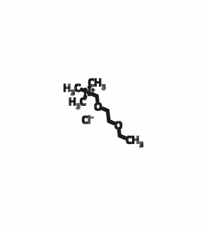 CCOCCOC[N+](C)(C)C.[Cl-]